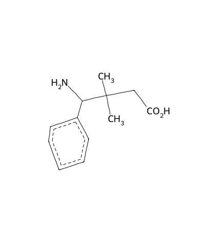 CC(C)(CC(=O)O)C(N)c1ccccc1